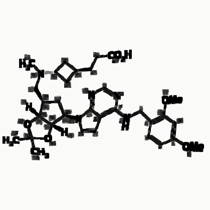 COc1ccc(CNc2ncnc3c2ccn3[C@@H]2C[C@H](CN(C)[C@H]3C[C@H](CCC(=O)O)C3)[C@H]3OC(C)(C)O[C@H]32)c(OC)c1